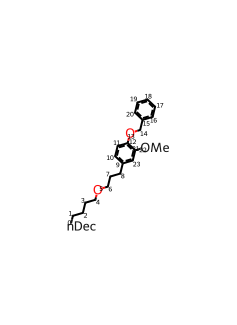 CCCCCCCCCCCCCCOCCCc1ccc(OCc2ccccc2)c(OC)c1